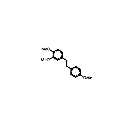 COc1ccc(C[CH]c2ccc(OC)c(OC)c2)cc1